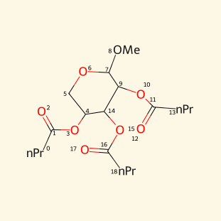 CCCC(=O)OC1COC(OC)C(OC(=O)CCC)C1OC(=O)CCC